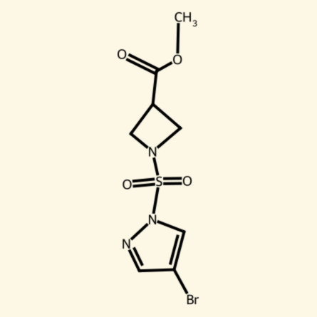 COC(=O)C1CN(S(=O)(=O)n2cc(Br)cn2)C1